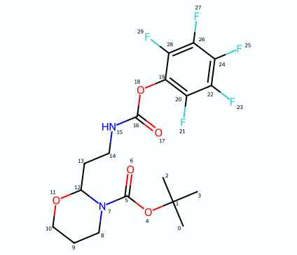 CC(C)(C)OC(=O)N1CCCOC1CCNC(=O)Oc1c(F)c(F)c(F)c(F)c1F